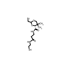 CC(=O)CC1OCC(C)(C)[C@H](C(=O)NCCC(=O)NCCS)O1